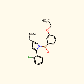 CNCc1cc(-c2ccccc2F)n([S+]([O-])c2cccc(OCC(=O)O)c2)c1